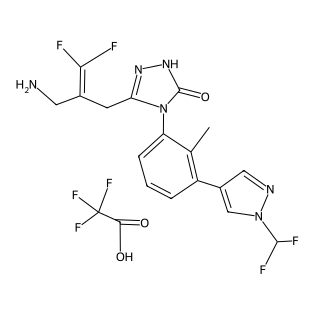 Cc1c(-c2cnn(C(F)F)c2)cccc1-n1c(CC(CN)=C(F)F)n[nH]c1=O.O=C(O)C(F)(F)F